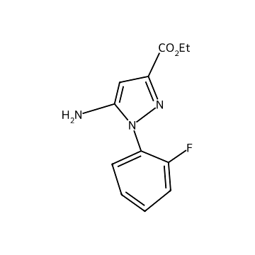 CCOC(=O)c1cc(N)n(-c2ccccc2F)n1